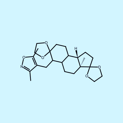 Cc1noc(C)c1CC1C2CC[C@@]3(C)[C@@H](CCC34OCCO4)C2CCC12OCCO2